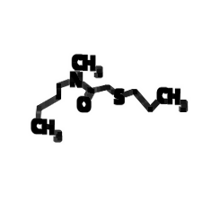 CCCCN(C)C(=O)CSCCC